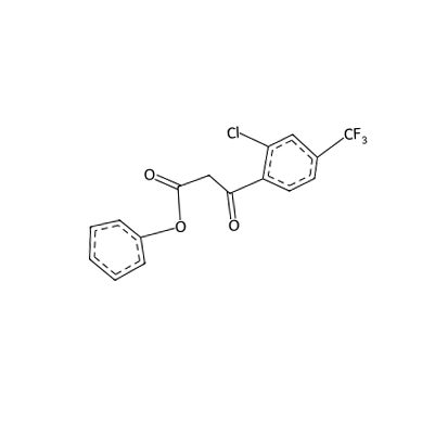 O=C(CC(=O)c1ccc(C(F)(F)F)cc1Cl)Oc1ccccc1